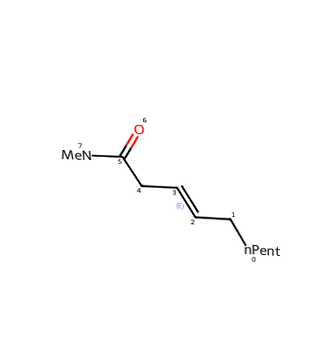 CCCCCC/C=C/CC(=O)NC